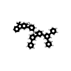 CC1(C)c2ccccc2-c2cc3c(cc21)oc1ccc(-n2c4ccc(-c5ccccc5)cc4c4cc(-c5cc(-c6ccccc6)cc(-c6ccccc6)c5)ccc42)cc13